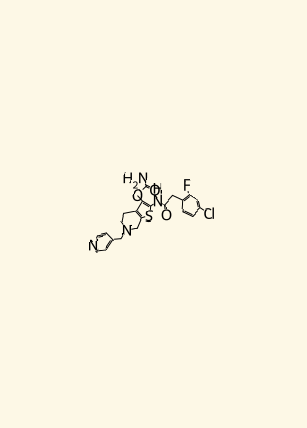 NC(=O)Oc1c(NC(=O)Cc2ccc(Cl)cc2F)sc2c1CCN(Cc1ccncc1)C2